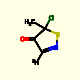 [2H]C1=NSC(C)(Cl)C1=O